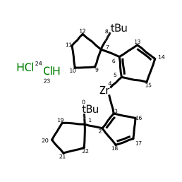 CC(C)(C)C1(C2=[C]([Zr][C]3=C(C4(C(C)(C)C)CCCC4)C=CC3)CC=C2)CCCC1.Cl.Cl